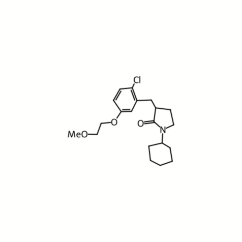 COCCOc1ccc(Cl)c(CC2CCN(C3CCCCC3)C2=O)c1